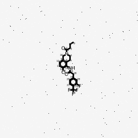 CCCC(=O)N1CCc2c(ccc(Cl)c2NC(=O)Cc2ccc(C(F)(F)F)c(F)c2)C1